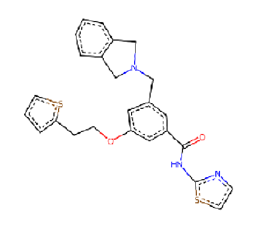 O=C(Nc1nccs1)c1cc(CN2Cc3ccccc3C2)cc(OCCc2cccs2)c1